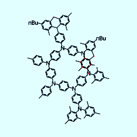 CCCCc1cc(C)c(C(c2ccc(N(c3ccc(N(c4ccc(C)cc4)c4ccc(N(c5ccc(C)cc5)c5ccc(N(c6ccc(N(c7c(C)cc(C)cc7C)c7c(C)cc(C)cc7C)cc6)c6ccc(N(c7c(C)cc(C)cc7C)c7c(C)cc(C)cc7C)cc6)cc5)cc4)cc3)c3ccc(N(c4c(C)cc(C)cc4C)c4c(C)cc(CCCC)cc4C)cc3)cc2)c2c(C)cc(C)cc2C)c(C)c1